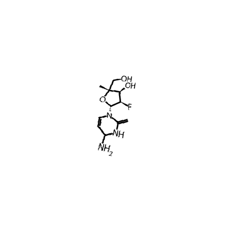 C=C1NC(N)C=CN1[C@@H]1O[C@](C)(CO)[C@@H](O)[C@H]1F